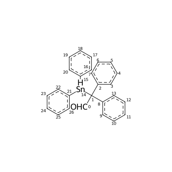 O=C[C](c1ccccc1)(c1ccccc1)[SnH]([c]1ccccc1)[c]1ccccc1